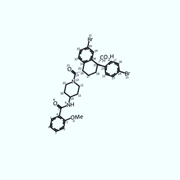 COc1ccccc1C(=O)NC1CCN(C(=O)[C@H]2CC[C@](C(=O)O)(c3ccc(Br)cc3)c3cc(Br)ccc32)CC1